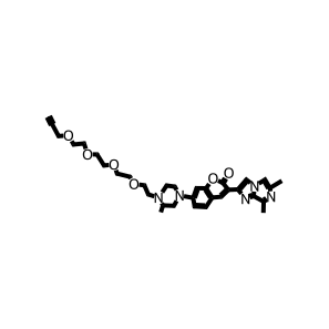 C#CCOCCOCCOCCOCCN1CCN(c2ccc3cc(-c4cn5cc(C)nc(C)c5n4)c(=O)oc3c2)CC1C